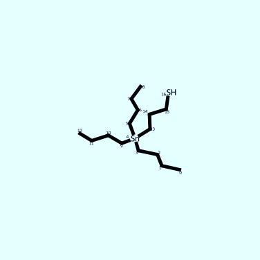 CCC[CH2][Sn]([CH2]CCC)([CH2]CCC)[CH2]CCS